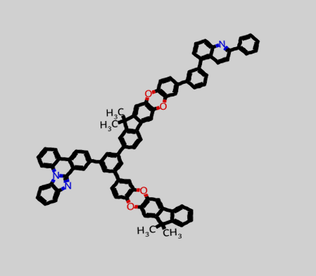 CC1(C)c2ccccc2-c2cc3c(cc21)Oc1ccc(-c2cc(-c4ccc5c(c4)C(C)(C)c4cc6c(cc4-5)Oc4cc(-c5cccc(-c7cccc8nc(-c9ccccc9)ccc78)c5)ccc4O6)cc(-c4ccc5c6ccccc6n6c7ccccc7nc6c5c4)c2)cc1O3